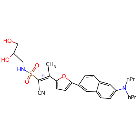 CCCN(CCC)c1ccc2cc(-c3ccc(/C(C)=C(\C#N)S(=O)(=O)NCC(O)CO)o3)ccc2c1